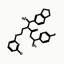 CC(CC(=O)N(CCOc1cccc(Cl)n1)C(C)c1ccc2c(c1)CCC2)c1ccc(F)cc1